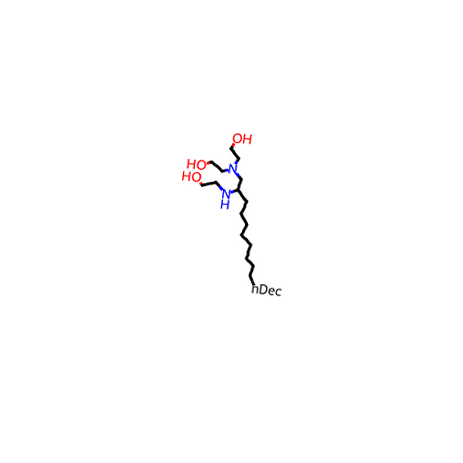 CCCCCCCCCCCCCCCCCCC(CN(CCO)CCO)NCCO